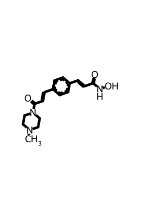 CN1CCN(C(=O)C=Cc2ccc(C=CC(=O)NO)cc2)CC1